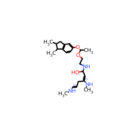 CN/C=C/C/C(=C\C(O)NCCOC(C)Oc1ccc2c(c1)CC(C)C2C)NC